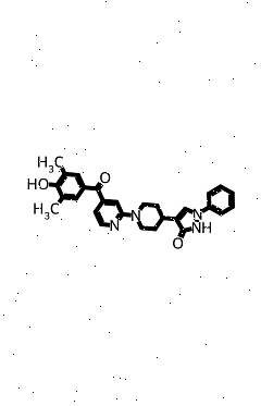 Cc1cc(C(=O)c2ccnc(N3CCC(c4cn(-c5ccccc5)[nH]c4=O)CC3)c2)cc(C)c1O